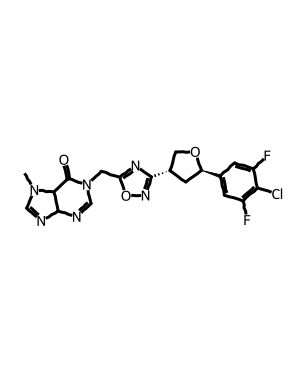 CN1C=NC2N=CN(Cc3nc([C@@H]4CO[C@@H](c5cc(F)c(Cl)c(F)c5)C4)no3)C(=O)C21